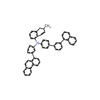 CC1C=Cc2c(cccc2N(c2ccc(-c3cccc(-c4cccc5ccccc45)c3)cc2)c2cccc(-c3cccc4c3ccc3ccccc34)c2)C1